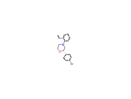 C=Cc1ccccc1N1CCO[C@@H](c2ccc(Br)cc2)C1